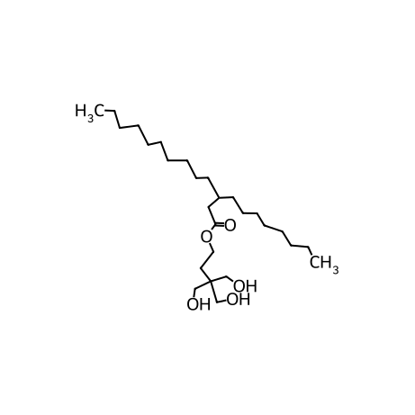 CCCCCCCCCCC(CCCCCCCC)CC(=O)OCCC(CO)(CO)CO